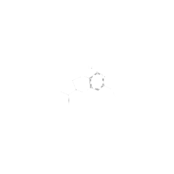 CSc1cc2c(c(Br)n1)OCC(C(F)F)O2